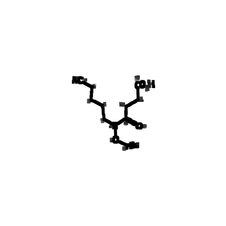 CCCCON(CCCCC#N)C(=O)CCC(=O)O